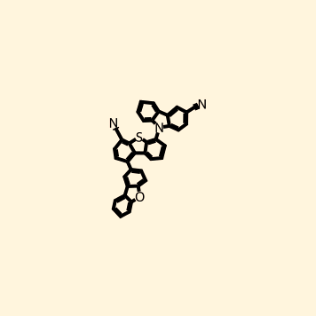 N#Cc1ccc2c(c1)c1ccccc1n2-c1cccc2c1sc1c(C#N)ccc(-c3ccc4oc5ccccc5c4c3)c12